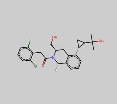 C[C@H]1c2cccc([C@@H]3CC3C(C)(C)O)c2C[C@H](CO)N1C(=O)Cc1c(F)cccc1Cl